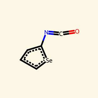 O=C=Nc1ccc[se]1